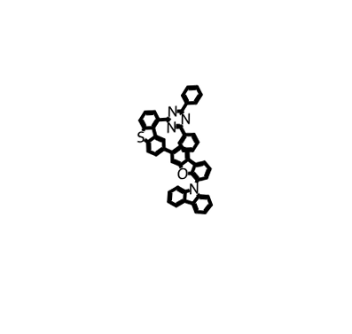 c1ccc(-c2nc(-c3ccccc3)nc(-c3cccc4sc5ccc(-c6ccc7c(c6)oc6c(-n8c9ccccc9c9ccccc98)cccc67)cc5c34)n2)cc1